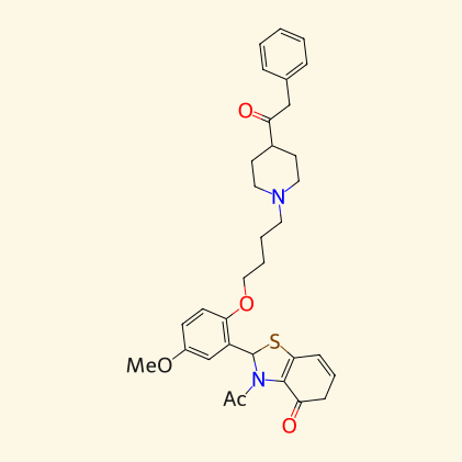 COc1ccc(OCCCCN2CCC(C(=O)Cc3ccccc3)CC2)c(C2SC3=C(C(=O)CC=C3)N2C(C)=O)c1